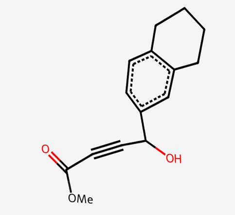 COC(=O)C#CC(O)c1ccc2c(c1)CCCC2